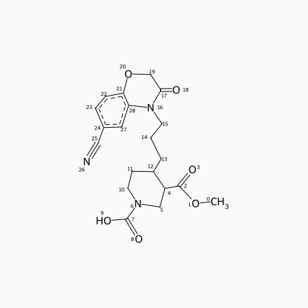 COC(=O)C1CN(C(=O)O)CCC1CCCN1C(=O)COc2ccc(C#N)cc21